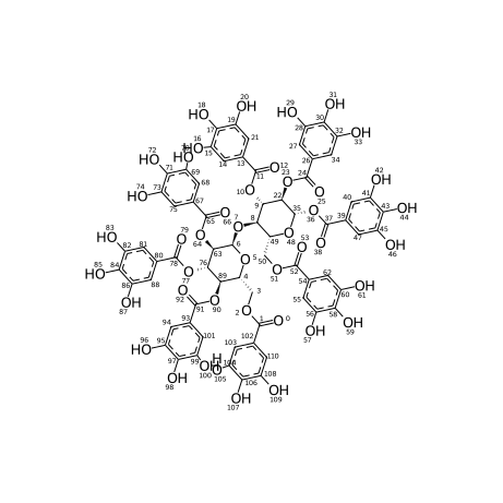 O=C(OC[C@H]1O[C@H](O[C@H]2[C@H](OC(=O)c3cc(O)c(O)c(O)c3)[C@@H](OC(=O)c3cc(O)c(O)c(O)c3)[C@H](OC(=O)c3cc(O)c(O)c(O)c3)O[C@@H]2COC(=O)c2cc(O)c(O)c(O)c2)[C@H](OC(=O)c2cc(O)c(O)c(O)c2)[C@@H](OC(=O)c2cc(O)c(O)c(O)c2)[C@@H]1OC(=O)c1cc(O)c(O)c(O)c1)c1cc(O)c(O)c(O)c1